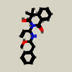 C=CC(NC(Cc1ccccc1)OC)N1C(=O)c2ccccc2C(C)(C)C1=O